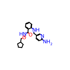 Nc1ccc(CNc2ccccc2C(=O)NOCC2CCCC2)cn1